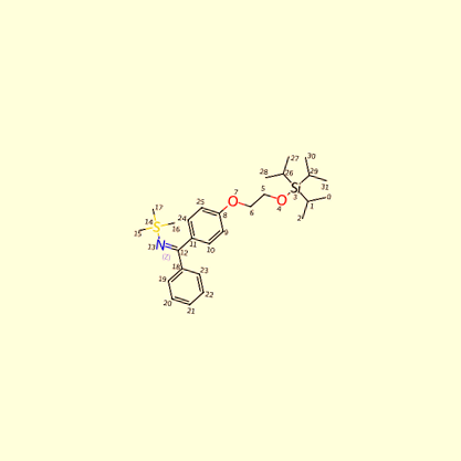 CC(C)[Si](OCCOc1ccc(/C(=N\S(C)(C)C)c2ccccc2)cc1)(C(C)C)C(C)C